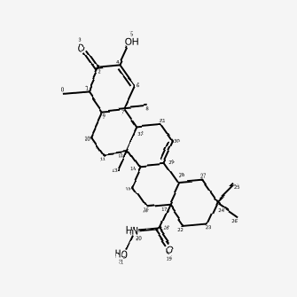 CC1C(=O)C(O)=CC2(C)C1CCC1(C)C3CCC4(C(=O)NO)CCC(C)(C)CC4C3=CCC21